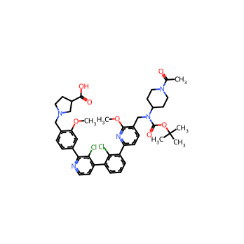 COc1cc(-c2nccc(-c3cccc(-c4ccc(CN(C(=O)OC(C)(C)C)C5CCN(C(C)=O)CC5)c(OC)n4)c3Cl)c2Cl)ccc1CN1CCC(C(=O)O)C1